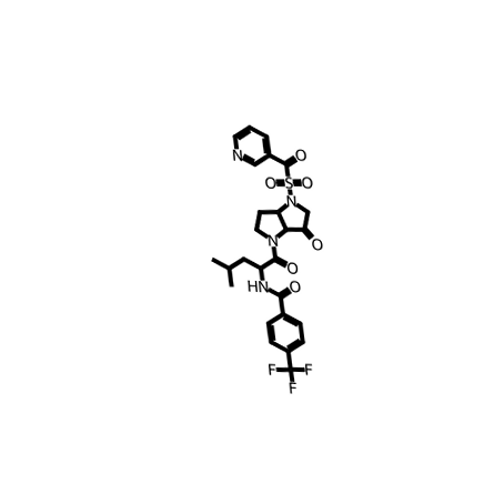 CC(C)CC(NC(=O)c1ccc(C(F)(F)F)cc1)C(=O)N1CCC2C1C(=O)CN2S(=O)(=O)C(=O)c1cccnc1